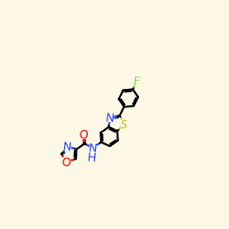 O=C(Nc1ccc2sc(-c3ccc(F)cc3)nc2c1)c1cocn1